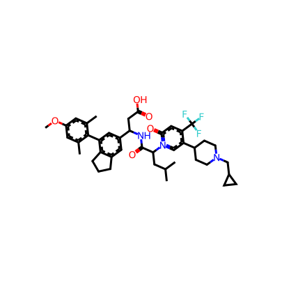 COc1cc(C)c(-c2cc(C(CC(=O)O)NC(=O)C(CC(C)C)n3cc(C4CCN(CC5CC5)CC4)c(C(F)(F)F)cc3=O)cc3c2CCC3)c(C)c1